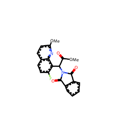 COC(=O)C(c1c(F)ccc2ccc(OC)nc12)N1C(=O)c2ccccc2C1=O